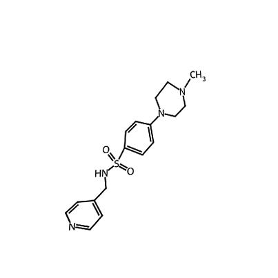 CN1CCN(c2ccc(S(=O)(=O)NCc3ccncc3)cc2)CC1